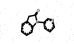 O=C1Cc2ccccc2N1c1cccnc1